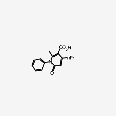 CCCc1cc(=O)n(-c2ccccc2)c(C)c1C(=O)O